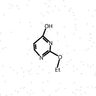 CCOc1nccc(O)n1